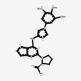 COc1cc(-n2cnc(Nc3nc(N4CCC[C@H]4C(N)=O)nc4ccsc34)c2)cc(OC)c1OC